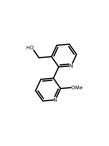 COc1ncccc1-c1ncccc1CO